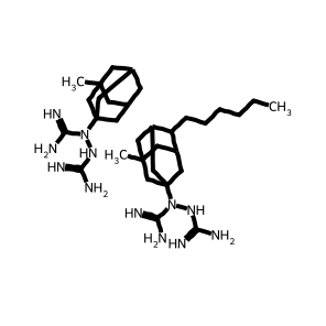 CC12CC3CC(C1)CC(N(NC(=N)N)C(=N)N)(C3)C2.CCCCCCC1C2CC3(C)CC1CC(N(NC(=N)N)C(=N)N)(C2)C3